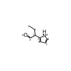 CCC([C]=O)c1ccc[nH]1